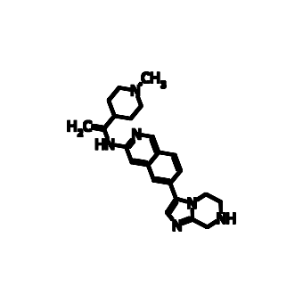 C=C(Nc1cc2cc(-c3cnc4n3CCNC4)ccc2cn1)C1CCN(C)CC1